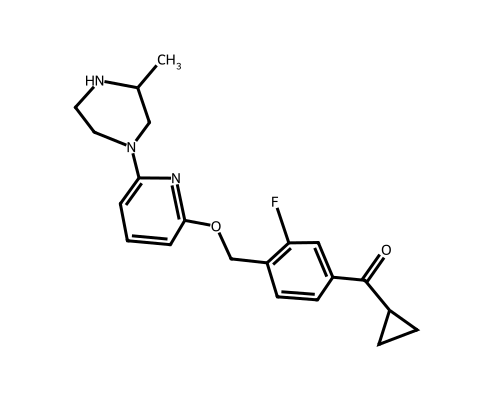 CC1CN(c2cccc(OCc3ccc(C(=O)C4CC4)cc3F)n2)CCN1